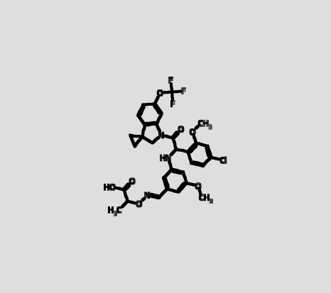 COc1cc(C=NOC(C)C(=O)O)cc(NC(C(=O)N2CC3(CC3)c3ccc(OC(F)(F)F)cc32)c2ccc(Cl)cc2OC)c1